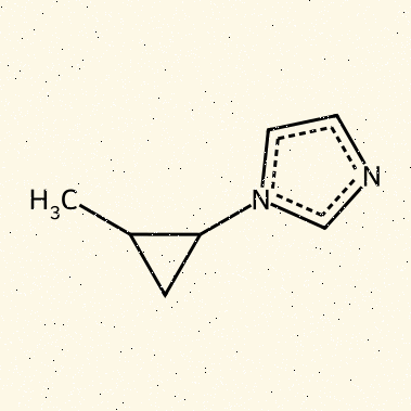 CC1CC1n1ccnc1